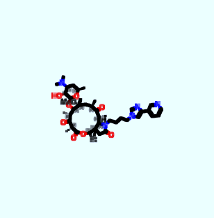 CC[C@H]1OC(=O)[C@H](C)C(=O)[C@H](C)[C@@H](O[C@@H]2O[C@H](C)C[C@H](N(C)C)[C@H]2O)[C@](C)(OC)C[C@@H](C)C(=O)[C@H](C)[C@H]2N(CCCCn3cnc(-c4cccnc4)c3)C(=O)C[C@]12C